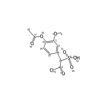 COc1cc(C(C(=O)Cl)S(=O)(=O)O)ccc1OC(C)=O